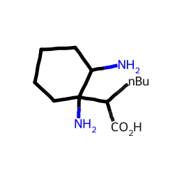 CCCCC(C(=O)O)C1(N)CCCCC1N